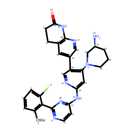 COc1cccc(F)c1-c1nccc(Nc2cc(N3CCC[C@H](N)C3)c(-c3cnc4c(c3)CCC(=O)N4)cn2)n1